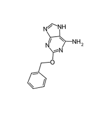 Nc1nc(OCc2ccccc2)nc2nc[nH]c12